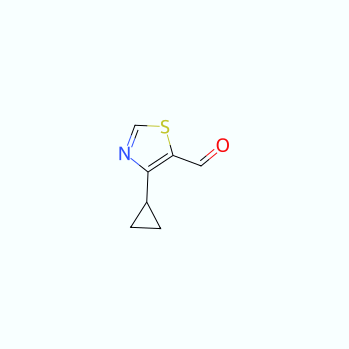 O=Cc1scnc1C1CC1